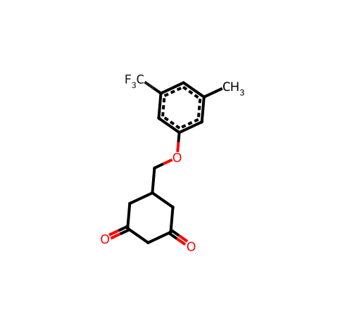 Cc1cc(OCC2CC(=O)CC(=O)C2)cc(C(F)(F)F)c1